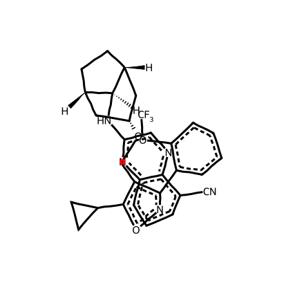 N#Cc1cccc2nc(N[C@@H]3[C@@H]4CC[C@H]3C[C@@H](OCc3c(-c5ccccc5OC(F)(F)F)noc3C3CC3)C4)cnc12